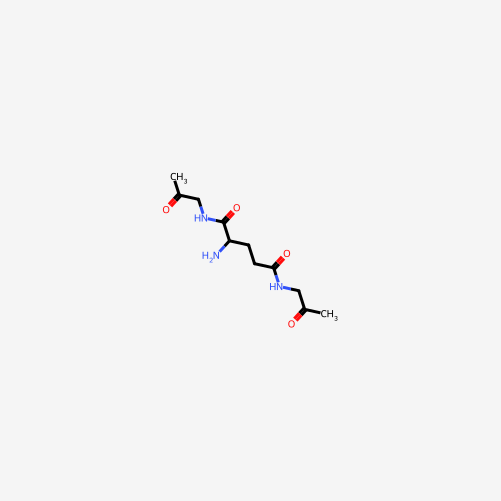 CC(=O)CNC(=O)CCC(N)C(=O)NCC(C)=O